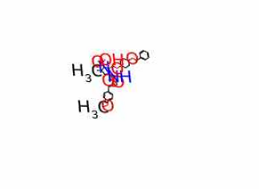 COc1ccc(CCS(=O)(=O)N[C@H]2C[C@@H](C)N(C(=O)O)[C@H]2COC2CCC(OCc3ccccc3)CC2)cc1